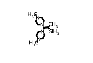 CC([SiH3])=C(N1CCN(C)CC1)N1CCN(C)CC1